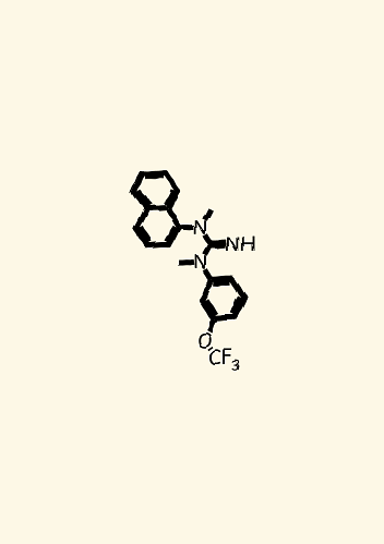 CN(C(=N)N(C)c1cccc2ccccc12)c1cccc(OC(F)(F)F)c1